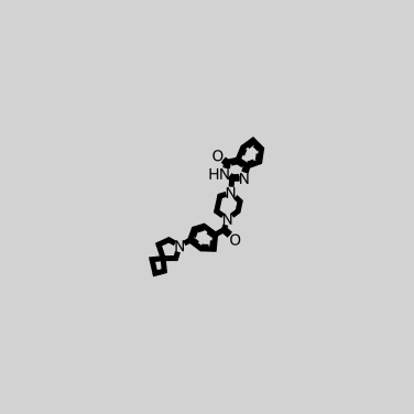 O=C(c1ccc(N2CCC3(CCC3)C2)cc1)N1CCN(c2nc3ccccc3c(=O)[nH]2)CC1